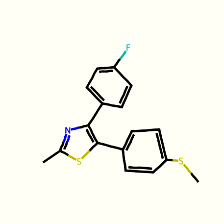 CSc1ccc(-c2sc(C)nc2-c2ccc(F)cc2)cc1